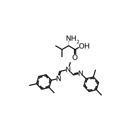 CC(C)[C@H](N)C(=O)O.Cc1ccc(/N=C/N(C)/C=N/c2ccc(C)cc2C)c(C)c1